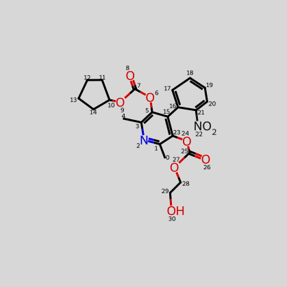 Cc1nc(C)c(OC(=O)OC2CCCC2)c(-c2ccccc2[N+](=O)[O-])c1OC(=O)OCCO